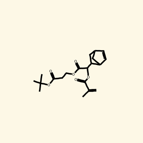 C=C(C)C(=O)OC(C(=O)OCCC(=O)OC(C)(C)C)C1CC2C=CC1C2